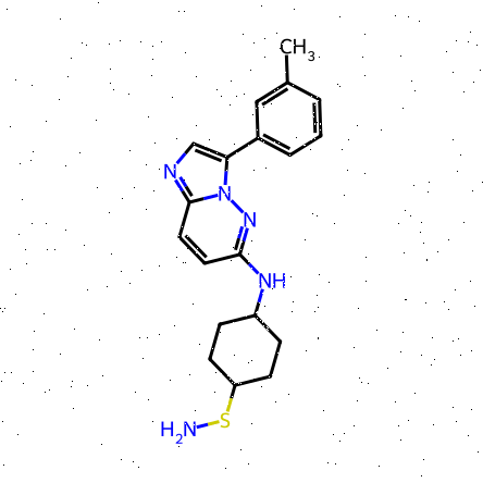 Cc1cccc(-c2cnc3ccc(NC4CCC(SN)CC4)nn23)c1